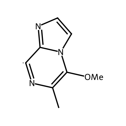 COc1c(C)n[c]c2nccn12